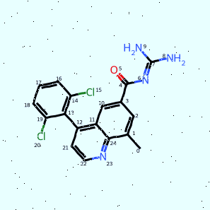 Cc1cc(C(=O)N=C(N)N)cc2c(-c3c(Cl)cccc3Cl)ccnc12